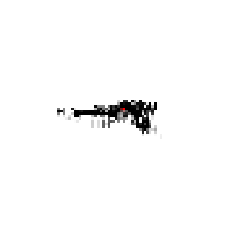 CC(=O)CCCCCNC(=O)CCNC(=O)C(O)C(C)(C)COP(=O)(O)OP(=O)(O)OCC1OC(n2cnc3c(N)ncnc32)C(O)C1OP(=O)(O)O